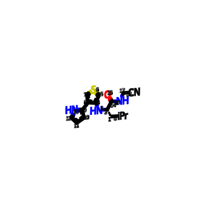 CC(C)C[C@H](Nc1cscc1-c1ccc[nH]1)C(=O)NCC#N